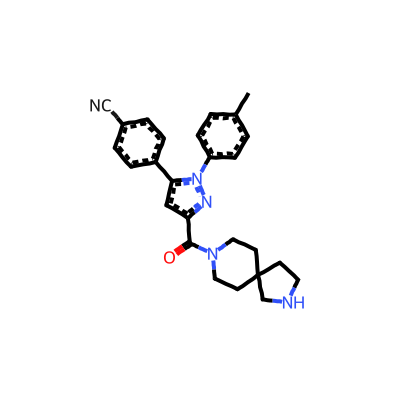 Cc1ccc(-n2nc(C(=O)N3CCC4(CCNC4)CC3)cc2-c2ccc(C#N)cc2)cc1